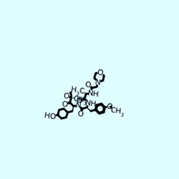 COc1ccc(C[C@H](NC(=O)[C@H](C)NC(=O)CN2CCOCC2)C(=O)N[C@@H](CC2CCC(O)CC2)C(=O)[C@]2(C)CO2)cc1